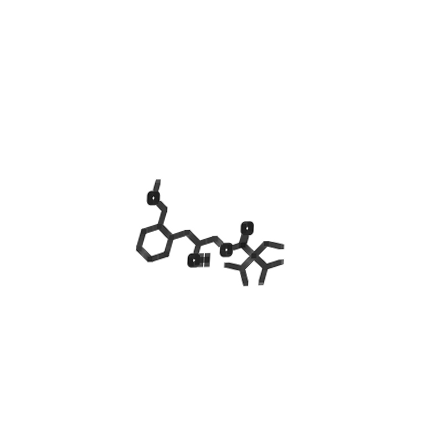 CCC(C(=O)OCC(O)CC1CCCCC1COC)(C(C)C)C(C)C